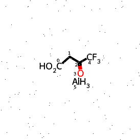 O=C(O)CC(=O)C(F)(F)F.[AlH3]